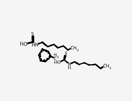 CCCCCCCNC(O)=S.CCCCCCCNC(O)=S.Cc1ccccc1